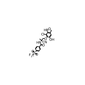 C[C@](C#N)(COc1c(O)cc2c(c1Cl)BOC2)NC(=O)c1ccc(S(=O)(=O)C(F)(F)F)cc1